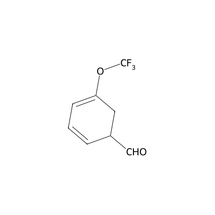 O=CC1C=CC=C(OC(F)(F)F)C1